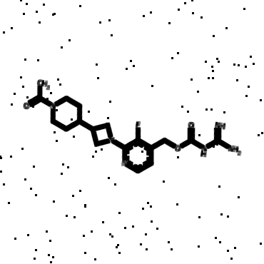 CC(=O)N1CCC(C2CN(c3nccc(COC(=O)NC(=N)N)c3F)C2)CC1